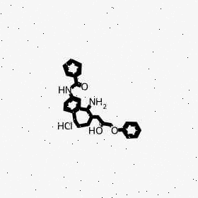 Cl.NC1c2cc(NC(=O)c3ccccc3)ccc2CCCC1C[C@H](O)COc1ccccc1